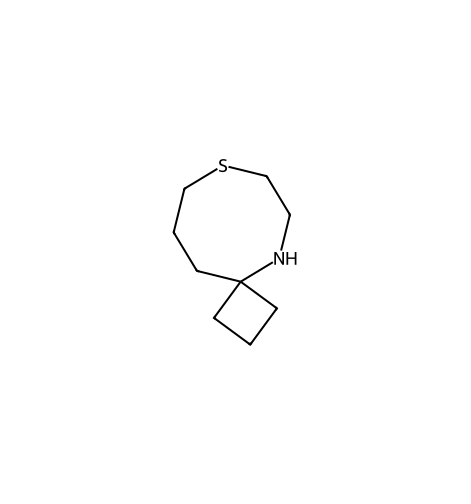 C1CSCCNC2(C1)CCC2